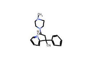 CC(CC(C#N)(c1ccccc1)c1ccccn1)N1CCN(C)CC1